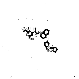 CC(C(=O)O)c1nc(NC(=O)N[C@H]2CC[C@@H](Oc3ccc4nnc([C@]5(C)CCCN5C)n4c3)c3ccccc32)cc(C(C)(C)C)n1